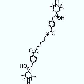 CC1(C)CC(N(O)Cc2ccc(C(=O)OCCCCCCOC(=O)c3ccc(CN(O)C4CC(C)(C)NC(C)(C)C4)cc3)cc2)CC(C)(C)N1